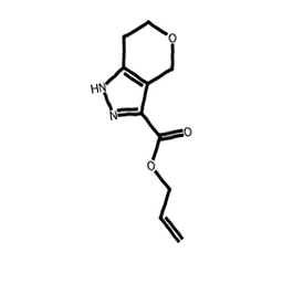 C=CCOC(=O)c1n[nH]c2c1COCC2